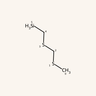 CSCSC[SiH3]